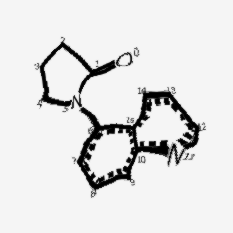 O=C1CCCN1c1cccc2ncccc12